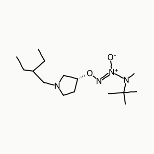 CCC(CC)CN1CC[C@@H](O/N=[N+](\[O-])N(C)C(C)(C)C)C1